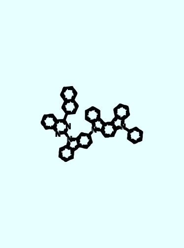 c1ccc(-n2c3ccccc3c3c4c5ccccc5n(-c5ccc6c7ccccc7n(-c7nc(-c8ccc9ccccc9c8)c8ccccc8n7)c6c5)c4ccc32)cc1